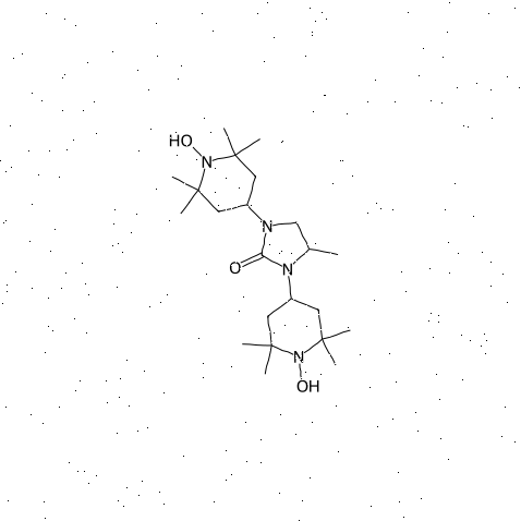 CC1CN(C2CC(C)(C)N(O)C(C)(C)C2)C(=O)N1C1CC(C)(C)N(O)C(C)(C)C1